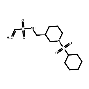 C=CS(=O)(=O)NC[C@H]1CCCN(S(=O)(=O)C2CCCCC2)C1